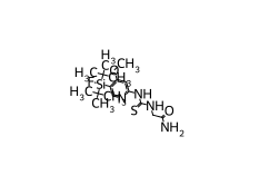 COc1cc(NC(=S)NCC(N)=O)ncc1[Si](F)(C(C)(C)C)C(C)(C)C